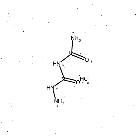 Cl.NNC(=O)NC(N)=O